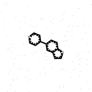 c1cc(-c2ccc3occc3c2)ccn1